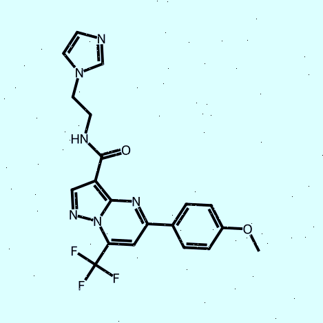 COc1ccc(-c2cc(C(F)(F)F)n3ncc(C(=O)NCCn4ccnc4)c3n2)cc1